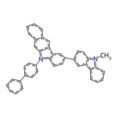 Cn1c2ccccc2c2cc(-c3ccc4c(c3)c3cc5ccccc5cc3n4-c3ccc(-c4ccccc4)cc3)ccc21